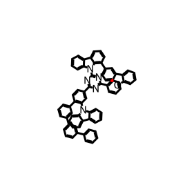 c1ccc(-c2cccc(-c3cccc(-c4ccc(-c5nc(-c6ccccc6)nc(-n6c7ccccc7c7cccc(-c8ccc9oc%10ccccc%10c9c8)c76)n5)cc4-n4c5ccccc5c5ccccc54)c3)c2)cc1